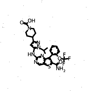 CC(C)n1nc(C2CCN(C(=O)O)CC2)cc1Nc1ncc2sc(C(N)=O)c(-c3ccccc3OC(F)(F)F)c2n1